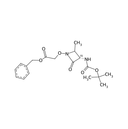 CC1[C@H](NC(=O)OC(C)(C)C)C(=O)N1OCC(=O)OCc1ccccc1